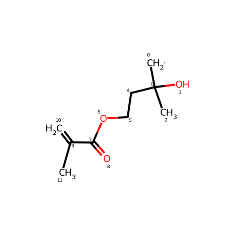 [CH2]C(C)(O)CCOC(=O)C(=C)C